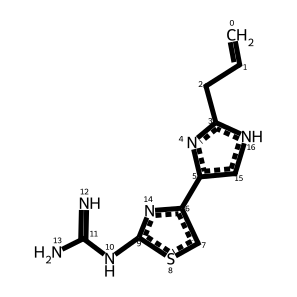 C=CCc1nc(-c2csc(NC(=N)N)n2)c[nH]1